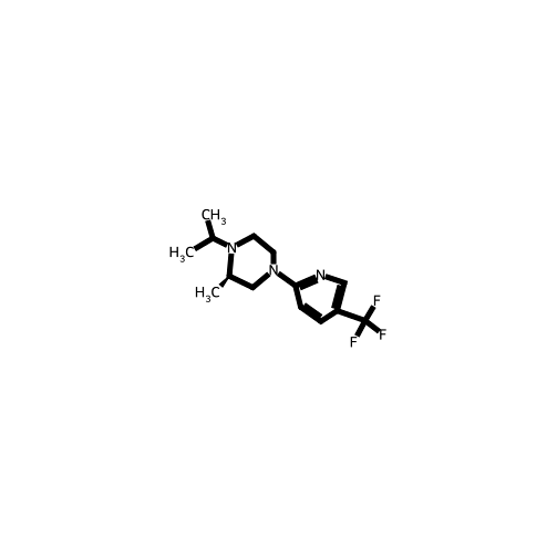 CC(C)N1CCN(c2ccc(C(F)(F)F)cn2)C[C@H]1C